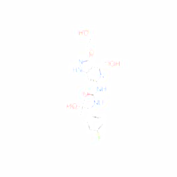 CC(C)(O)[C@@H](NC(=O)Nc1cc2[nH]nc(OCCO)c2c(CO)n1)c1ccc(F)cc1